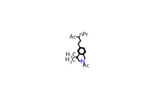 CCCC(CCc1ccc2c(c1)C(C)(C)CN(C(C)=O)C2)C(C)=O